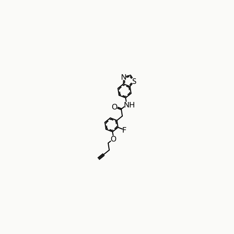 C#CCCOc1cccc(CC(=O)Nc2ccc3ncsc3c2)c1F